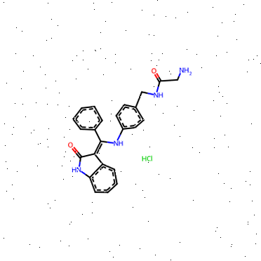 Cl.NCC(=O)NCc1ccc(NC(=C2C(=O)Nc3ccccc32)c2ccccc2)cc1